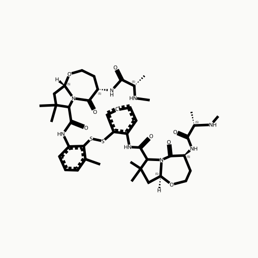 CN[C@@H](C)C(=O)N[C@H]1CCO[C@H]2CC(C)(C)C(C(=O)Nc3ccccc3SSc3c(C)cccc3NC(=O)C3N4C(=O)[C@@H](NC(=O)[C@H](C)NC)CCO[C@H]4CC3(C)C)N2C1=O